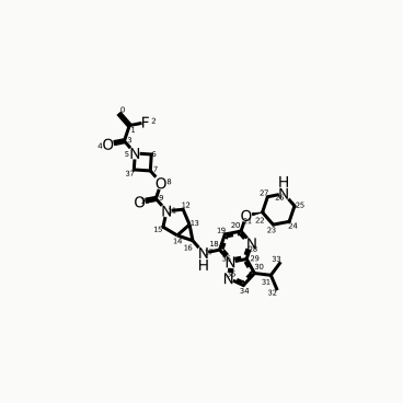 C=C(F)C(=O)N1CC(OC(=O)N2CC3C(C2)C3Nc2cc(O[C@@H]3CCCNC3)nc3c(C(C)C)cnn23)C1